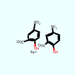 O=C([O-])c1cc([N+](=O)[O-])ccc1O.O=C([O-])c1cc([N+](=O)[O-])ccc1O.[Fe+2]